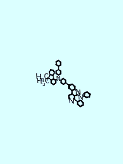 CC1(C)c2ccccc2-c2c(N(c3ccc(-c4ccccc4)cc3)c3ccc(-c4ccc5nc6c7c(nccc7c5c4)-c4ccccc4N6c4ccccc4)cc3)cccc21